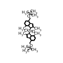 CC1=Cc2c(CO[Si](C)(C)C)ccc(C)c2[CH]1[Zr]([Cl])([Cl])[CH]1C(C)=Cc2c(CO[Si](C)(C)C)ccc(C)c21